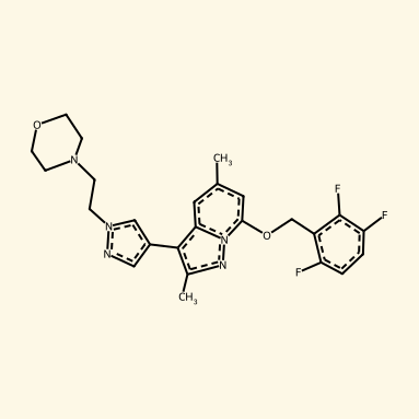 Cc1cc(OCc2c(F)ccc(F)c2F)n2nc(C)c(-c3cnn(CCN4CCOCC4)c3)c2c1